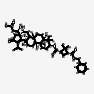 CC(C)C1=C2[C@H]3CC[C@@H]4[C@@]5(C)CC[C@H](OC(=O)[C@H]6C[C@@H](C(=O)OCc7ccccc7)C6(C)C)C(C)(C)[C@@H]5CC[C@@]4(C)[C@]3(C)CC[C@@]2([C@@H](O)C[N+](=O)[O-])CC1=O